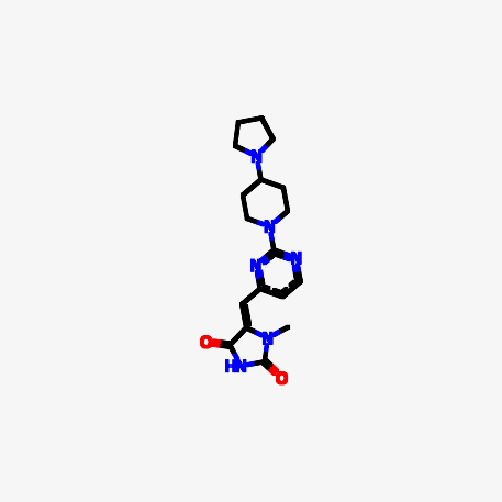 CN1C(=O)NC(=O)/C1=C/c1ccnc(N2CCC(N3CCCC3)CC2)n1